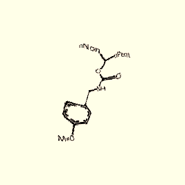 CCCCCCCCCC(CCCCC)OC(=O)NCc1ccc(OC)cc1